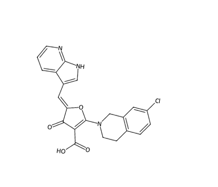 O=C(O)C1=C(N2CCc3ccc(Cl)cc3C2)OC(=Cc2c[nH]c3ncccc23)C1=O